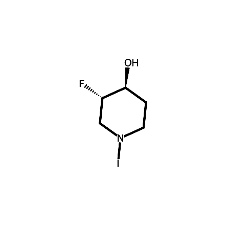 O[C@H]1CCN(I)C[C@@H]1F